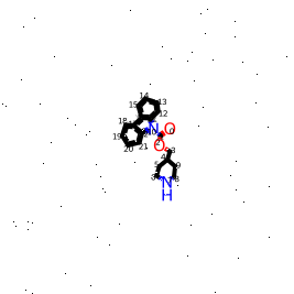 O=C(OCC1CCNCC1)n1c2ccccc2c2ccccc21